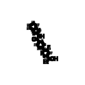 CCC(O)c1cnc(-c2ccc(C(=O)Nc3nc4ccccc4s3)cc2)c(F)c1